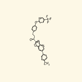 Cc1ccc(-c2cnc3nc(C(=O)CCc4ccc(Oc5ccc(C(F)(F)F)cn5)cc4)oc3c2)cc1